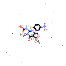 C[C@H]1OC[C@]2(c3cc([N+](=O)[O-])ccc3F)N=C(NC(=O)O)N(C)C(=O)[C@H]12